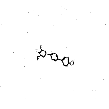 Fc1cc(-c2ccc(-c3ccc(Cl)cc3)cc2)cc(F)c1F